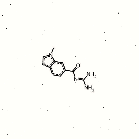 Cn1ccc2ccc(C(=O)N=C(N)N)cc21